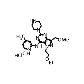 CCOCCn1nc(COC)c2nc(N3CCNCC3)nc(Nc3cc(C)ccn3)c21.Cl.Cl